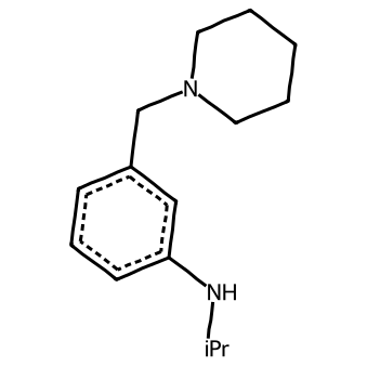 CC(C)Nc1cccc(CN2CCCCC2)c1